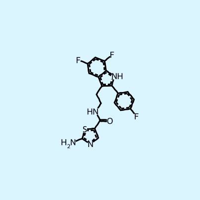 Nc1ncc(C(=O)NCCc2c(-c3ccc(F)cc3)[nH]c3c(F)cc(F)cc23)s1